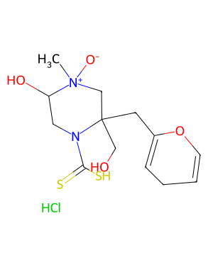 C[N+]1([O-])CC(CO)(CC2=CCC=CO2)N(C(=S)S)CC1O.Cl